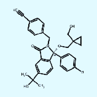 C#Cc1ccc(CN2C(=O)c3cc(C(C)(C)O)ccc3[C@]2(OCC2(CO)CC2)c2ccc(Cl)cc2)cc1